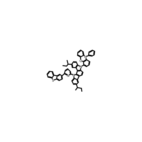 CCC(C)c1ccc2c(c1)c1c(ccc3c4cc(C(C)CC)ccc4n(-c4cccc(-c5ccc6sc7ccccc7c6c5)n4)c31)n2-c1cccc2c1Oc1ccccc1N2c1ccccc1